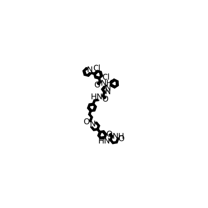 O=C1CCC(Nc2ccc(C3CCN(C(=O)CCc4ccc(CCNC(=O)c5cc(NC(=O)c6cc(-c7ccccn7)c(Cl)cc6Cl)n(-c6ccccc6)n5)cc4)CC3)cc2)C(=O)N1